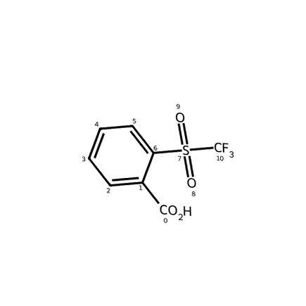 O=C(O)c1ccccc1S(=O)(=O)C(F)(F)F